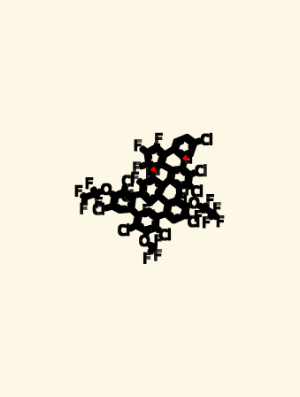 Fc1c(F)c(F)c(-c2c(Cl)c(Cl)c(Cl)c(Cl)c2-c2c(Cl)c(F)c(Cl)c(F)c2-c2c(-c3[c]c(-c4cc(Cl)c(OC(F)(F)C(F)F)c(Cl)c4)c(Cl)c(OC(F)(F)F)c3Cl)cc(Cl)c(OC(F)(F)C(F)(F)F)c2Cl)c(-c2ccc(Cl)cc2)c1F